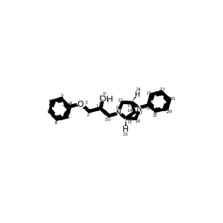 OC(COc1ccccc1)CN1C[C@@H]2C[C@H]1CN2c1ccccc1